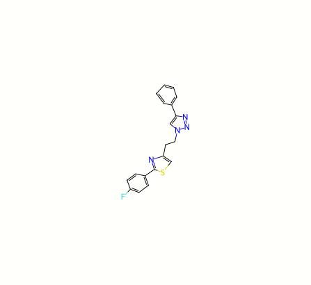 Fc1ccc(-c2nc(CCn3cc(-c4ccccc4)nn3)cs2)cc1